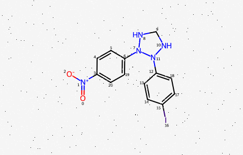 O=[N+]([O-])c1ccc(N2NCNN2c2ccc(I)cc2)cc1